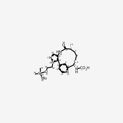 C[C@@H]1CCC[C@H](NC(=O)O)c2cc(ccn2)-c2c(cnn2CCO[Si](C)(C)C(C)(C)C)NC1=O